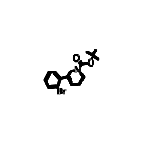 CC(C)(C)OC(=O)N1CCC=C(c2ccccc2Br)C1